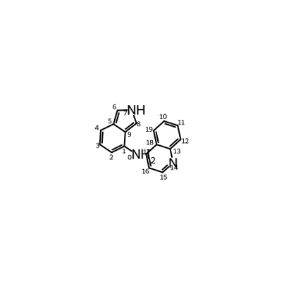 Nc1cccc2c[nH]cc12.c1ccc2ncccc2c1